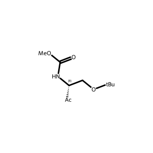 COC(=O)N[C@H](COC(C)(C)C)C(C)=O